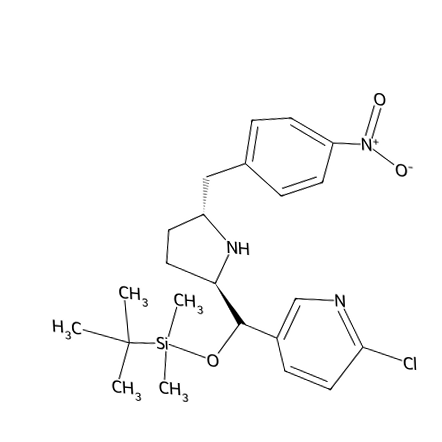 CC(C)(C)[Si](C)(C)OC(c1ccc(Cl)nc1)[C@H]1CC[C@H](Cc2ccc([N+](=O)[O-])cc2)N1